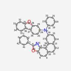 c1ccc(-c2nc3c(ccc4ccc5ccc(N(c6ccccc6)c6ccc7c(c6)oc6ccccc67)cc5c43)o2)cc1